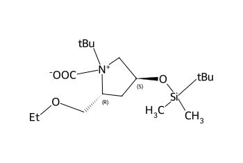 CCOC[C@H]1C[C@H](O[Si](C)(C)C(C)(C)C)C[N+]1(C(=O)[O-])C(C)(C)C